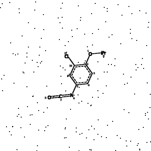 CC(C)Oc1ccc(N=C=O)cc1Cl